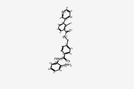 Cc1c(C(=O)NCc2ccc(C(=O)Nc3ccccc3N)cc2)cccc1-c1cccnc1